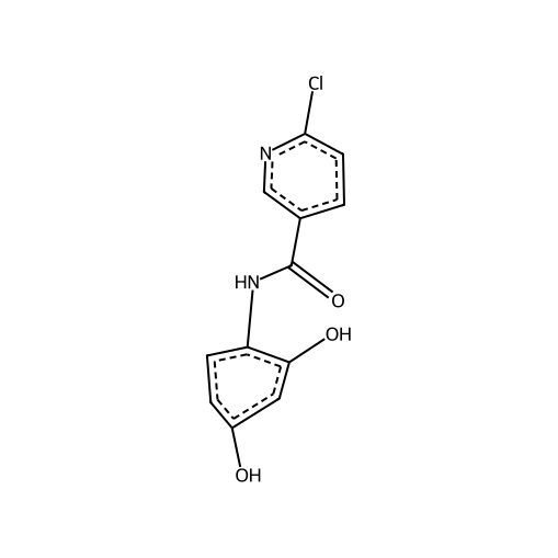 O=C(Nc1ccc(O)cc1O)c1ccc(Cl)nc1